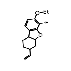 C=CC1CCC2c3ccc(OCC)c(F)c3OC2C1